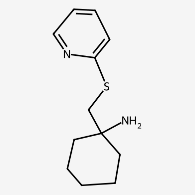 NC1(CSc2ccccn2)CCCCC1